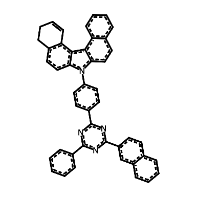 C1=Cc2c(ccc3c2c2c4ccccc4ccc2n3-c2ccc(-c3nc(-c4ccccc4)nc(-c4ccc5ccccc5c4)n3)cc2)CC1